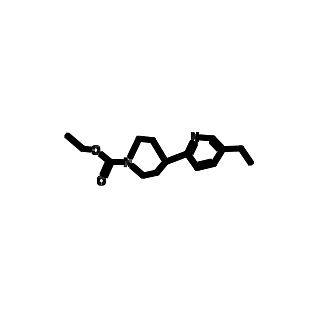 CCOC(=O)N1CCC(c2ccc(CC)cn2)CC1